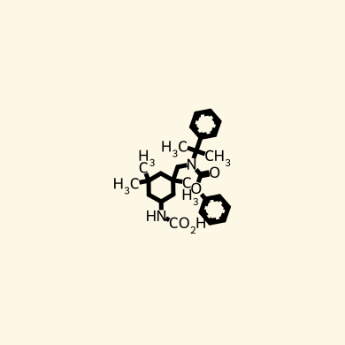 CC1(C)CC(NC(=O)O)CC(C)(CN(C(=O)Oc2ccccc2)C(C)(C)c2ccccc2)C1